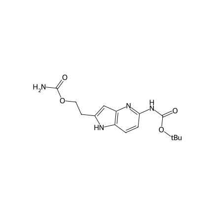 CC(C)(C)OC(=O)Nc1ccc2[nH]c(CCOC(N)=O)cc2n1